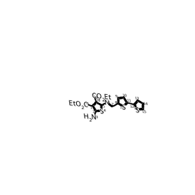 CCOC(=O)c1c(N)sc(/N=C/c2ccc(-c3cccs3)s2)c1C(=O)OCC